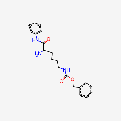 NC(CCCCNC(=O)OCc1ccccc1)C(=O)Nc1ccccc1